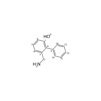 Cl.NCc1ccccc1-c1ccccc1